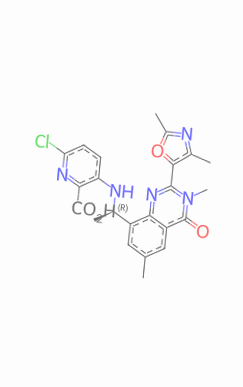 Cc1cc([C@@H](C)Nc2ccc(Cl)nc2C(=O)O)c2nc(-c3oc(C)nc3C)n(C)c(=O)c2c1